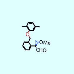 CON=C([C]=O)c1ccccc1COc1cc(C)ccc1C